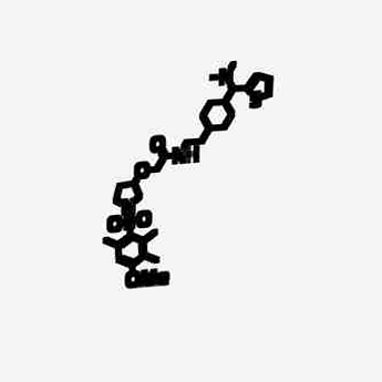 COc1cc(C)c(S(=O)(=O)N2CCC(OCC(=O)NCCC3CCC(C(c4cccs4)N(C)C)CC3)C2)c(C)c1C